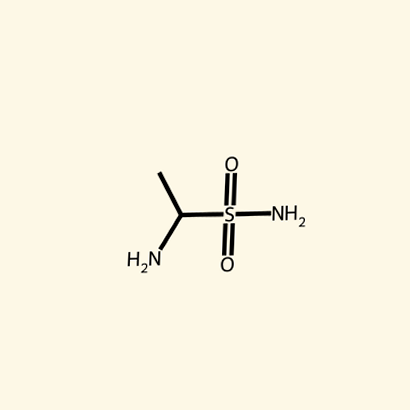 CC(N)S(N)(=O)=O